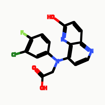 O=C(O)CN(c1ccc(F)c(Cl)c1)c1ccnc2ccc(O)nc12